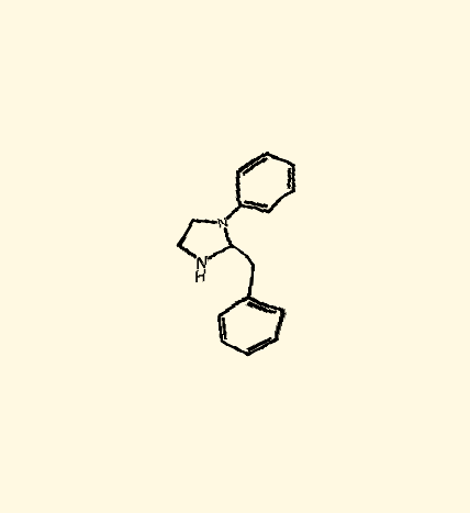 c1ccc(CC2NCCN2c2ccccc2)cc1